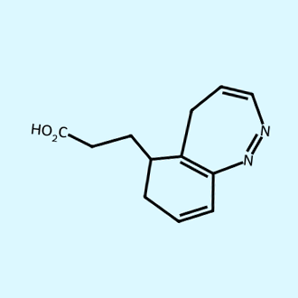 O=C(O)CCC1CC=CC2=C1CC=CN=N2